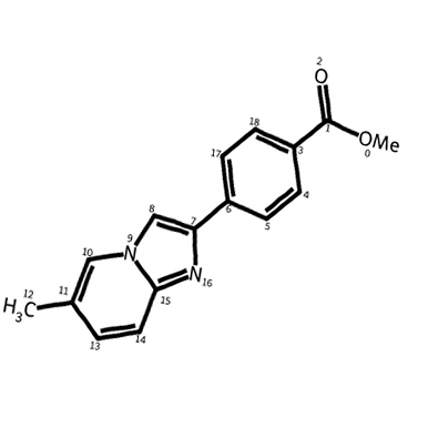 COC(=O)c1ccc(-c2cn3cc(C)ccc3n2)cc1